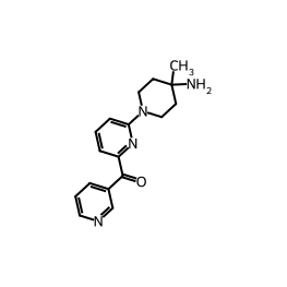 CC1(N)CCN(c2cccc(C(=O)c3cccnc3)n2)CC1